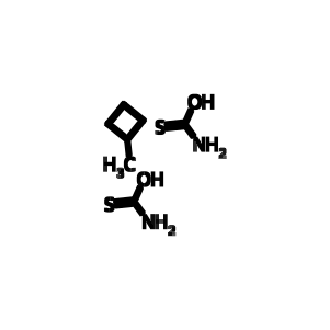 CC1CCC1.NC(O)=S.NC(O)=S